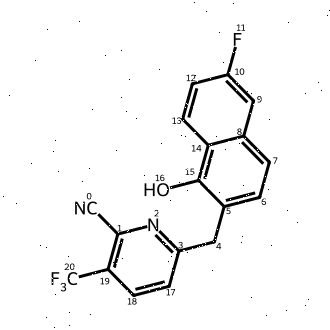 N#Cc1nc(Cc2ccc3cc(F)ccc3c2O)ccc1C(F)(F)F